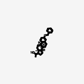 CC(O)C1CC[C@H]2[C@@H]3CCc4cc(OCc5ccccc5)ccc4[C@H]3CC[C@]12C